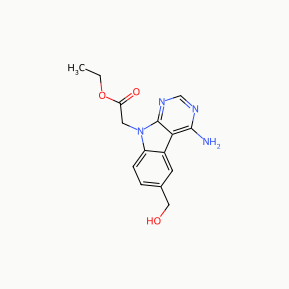 CCOC(=O)Cn1c2ccc(CO)cc2c2c(N)ncnc21